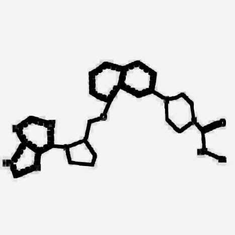 CCNC(=O)N1CCN(c2ccc3cccc(OCC4CCCN4c4ncnc5[nH]cnc45)c3c2)CC1